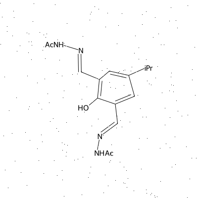 CC(=O)N/N=C/c1cc(C(C)C)cc(/C=N/NC(C)=O)c1O